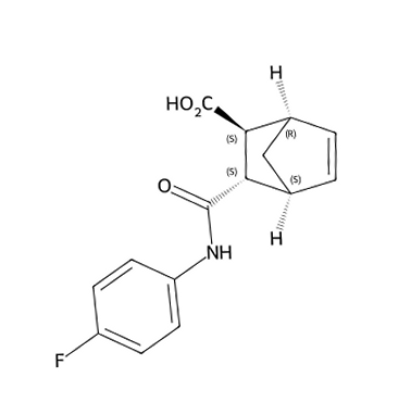 O=C(Nc1ccc(F)cc1)[C@@H]1[C@@H](C(=O)O)[C@H]2C=C[C@@H]1C2